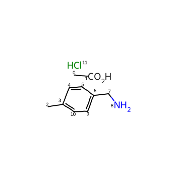 CC(=O)O.Cc1ccc(CN)cc1.Cl